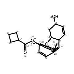 CN1CC[C@@]23C=C[C@H](O)CC2Oc2c(OC(=O)C4CCC4)ccc(c23)C1